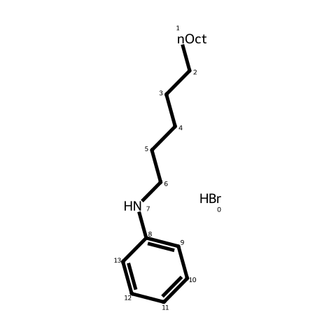 Br.CCCCCCCCCCCCCNc1ccccc1